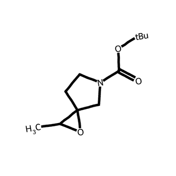 CC1OC12CCN(C(=O)OC(C)(C)C)C2